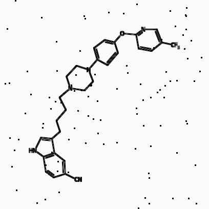 N#Cc1ccc2[nH]cc(CCCCN3CCN(c4ccc(Oc5ccc(C(F)(F)F)cn5)cc4)CC3)c2c1